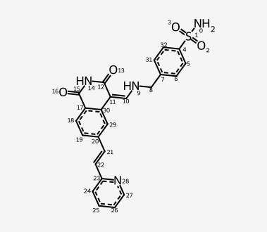 NS(=O)(=O)c1ccc(CNC=C2C(=O)NC(=O)c3ccc(C=Cc4ccccn4)cc32)cc1